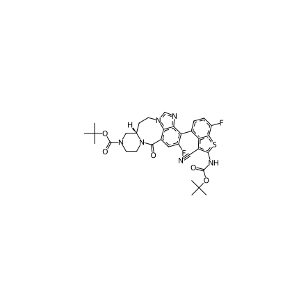 CC(C)(C)OC(=O)Nc1sc2c(F)ccc(-c3c(F)cc4c5c3ncn5CC[C@H]3CN(C(=O)OC(C)(C)C)CCN3C4=O)c2c1C#N